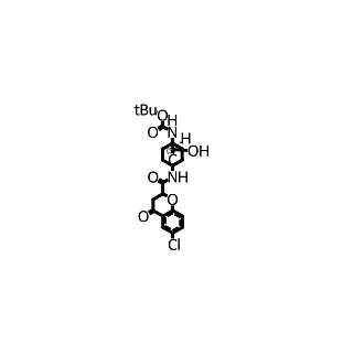 CC(C)(C)OC(=O)NC12CCC(NC(=O)C3CC(=O)c4cc(Cl)ccc4O3)(CC1)C[C@@H]2O